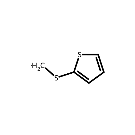 [CH2]Sc1cccs1